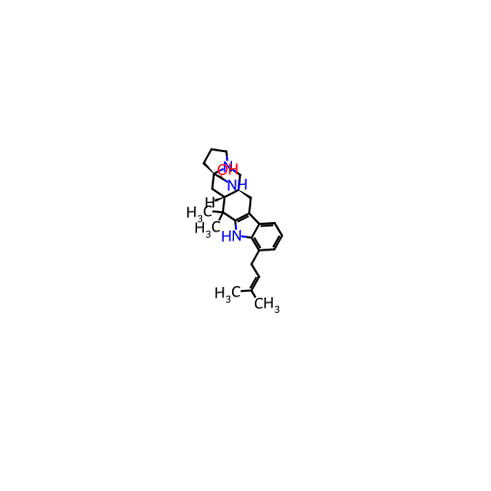 CC(C)=CCc1cccc2c3c([nH]c12)C(C)(C)[C@@H]1C[C@]24CCCN2C[C@@]1(C3)NC4O